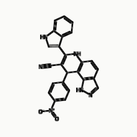 N#CC1=C(c2c[nH]c3ccccc23)Nc2ccc3cn[nH]c3c2C1c1ccc([N+](=O)[O-])cc1